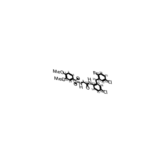 COc1ccc(S(=O)(=O)NCC(=O)Nc2ccc(Cl)cc2Cc2cc(Cl)ccc2F)cc1OC